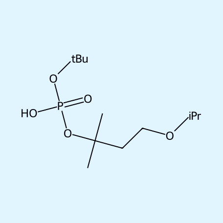 CC(C)OCCC(C)(C)OP(=O)(O)OC(C)(C)C